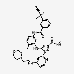 CNC(=O)c1cc(Nc2cc(NC(=O)c3cccc(C(C)(C)C#N)c3)ccc2C)n(-c2cc(NCCN3CCOCC3)ncn2)n1